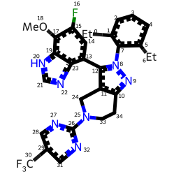 CCc1cccc(CC)c1-n1nc2c(c1-c1cc(F)c(OC)c3[nH]cnc13)CN(c1ncc(C(F)(F)F)cn1)CC2